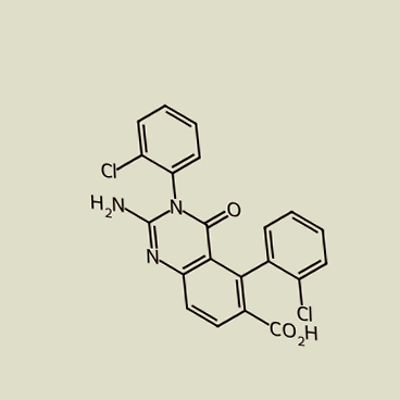 Nc1nc2ccc(C(=O)O)c(-c3ccccc3Cl)c2c(=O)n1-c1ccccc1Cl